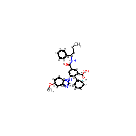 CCCC(NC(=O)c1ccc(-c2c(F)cccc2-c2nc3cc(OC)ccc3[nH]2)c(C(=O)O)c1)c1ccccc1